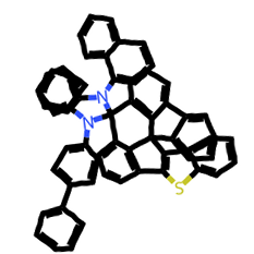 c1ccc(-c2ccc(N(c3ccccc3)C3(N(c4ccccc4)c4cccc5ccccc45)c4cccc5c4C4(c6ccccc6-5)c5c(cccc53)-c3sc5ccccc5c34)cc2)cc1